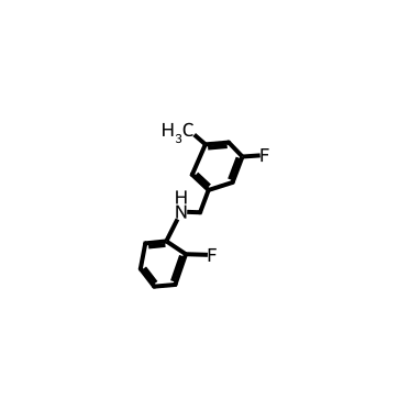 Cc1cc(F)cc(CNc2ccccc2F)c1